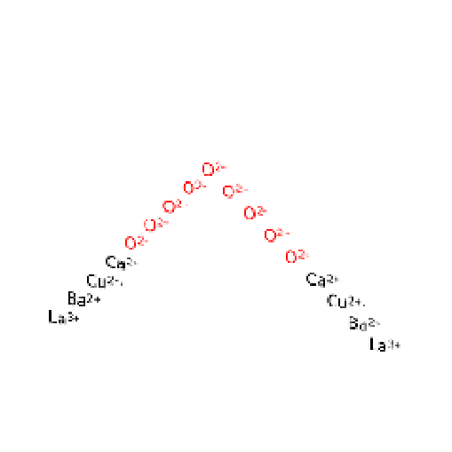 [Ba+2].[Ba+2].[Ca+2].[Ca+2].[Cu+2].[Cu+2].[La+3].[La+3].[O-2].[O-2].[O-2].[O-2].[O-2].[O-2].[O-2].[O-2].[O-2]